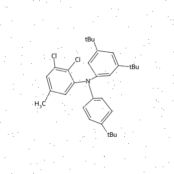 Cc1cc(Cl)c(Cl)c(N(c2ccc(C(C)(C)C)cc2)c2cc(C(C)(C)C)cc(C(C)(C)C)c2)c1